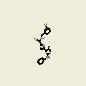 Cc1cnc(Nc2ccccc2)nc1-c1coc(C(=O)NCc2cccc(Cl)c2)n1